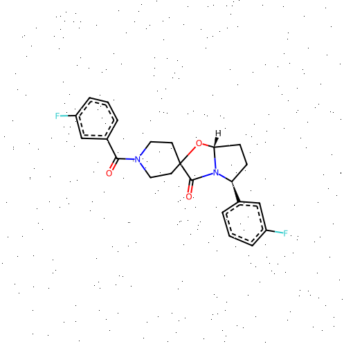 O=C(c1cccc(F)c1)N1CCC2(CC1)O[C@@H]1CC[C@@H](c3cccc(F)c3)N1C2=O